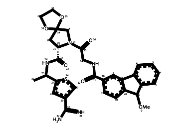 COC1c2ccccc2-c2cc(C(=O)NCC(=O)N3CC4(C[C@H]3C(=O)NC(C)c3cc(C(=N)N)cs3)OCCO4)ccc21